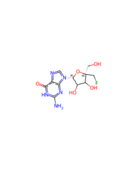 Nc1nc2c(ncn2[C@@H]2O[C@@](CO)(CF)C(O)C2O)c(=O)[nH]1